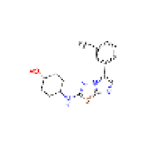 OC1CCC(Nc2nn3c(-c4cccc(C(F)(F)F)c4)cnc3s2)CC1